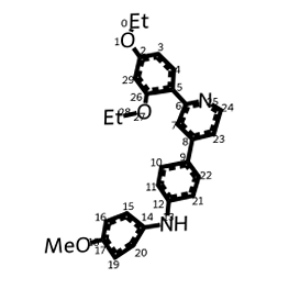 CCOc1ccc(-c2cc(-c3ccc(Nc4ccc(OC)cc4)cc3)ccn2)c(OCC)c1